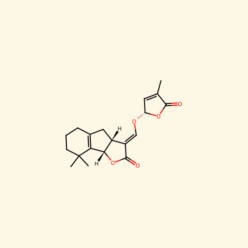 CC1=C[C@@H](O/C=C2/C(=O)O[C@@H]3C4=C(CCCC4(C)C)C[C@H]23)OC1=O